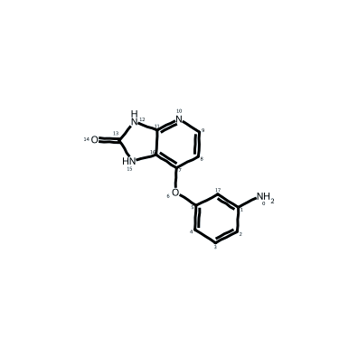 Nc1cccc(Oc2ccnc3[nH]c(=O)[nH]c23)c1